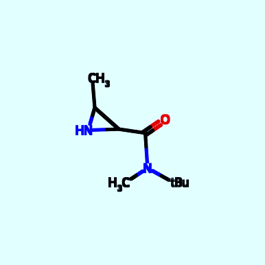 CC1NC1C(=O)N(C)C(C)(C)C